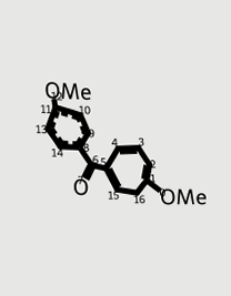 COC1=CC=CC(C(=O)c2ccc(OC)cc2)=CC1